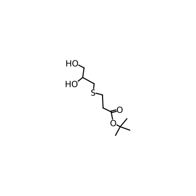 CC(C)(C)OC(=O)CCSCC(O)CO